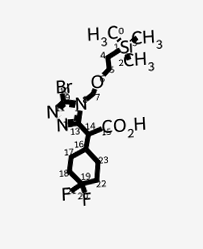 C[Si](C)(C)CCOCn1c(Br)nnc1C(C(=O)O)C1CCC(F)(F)CC1